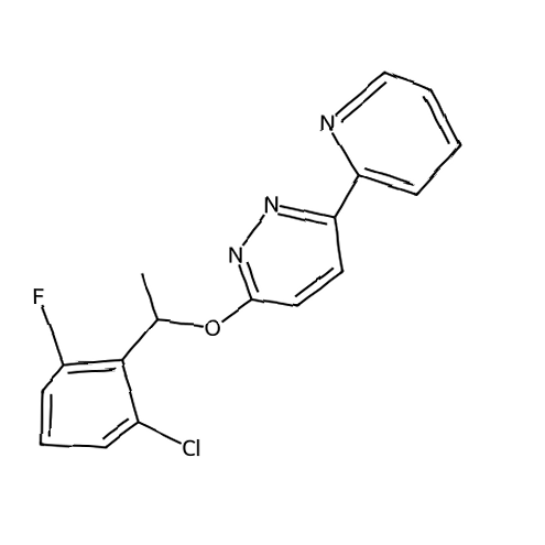 CC(Oc1ccc(-c2ccccn2)nn1)c1c(F)cccc1Cl